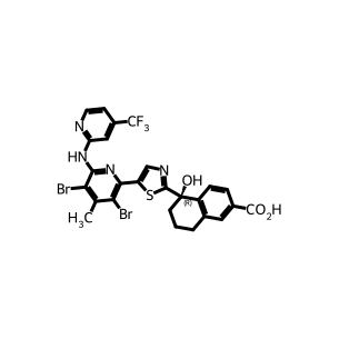 Cc1c(Br)c(Nc2cc(C(F)(F)F)ccn2)nc(-c2cnc([C@@]3(O)CCCc4cc(C(=O)O)ccc43)s2)c1Br